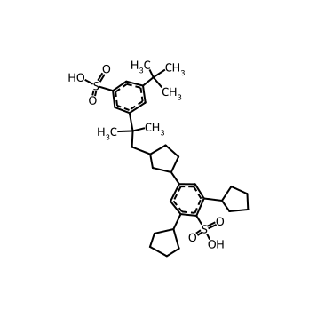 CC(C)(C)c1cc(C(C)(C)CC2CCC(c3cc(C4CCCC4)c(S(=O)(=O)O)c(C4CCCC4)c3)C2)cc(S(=O)(=O)O)c1